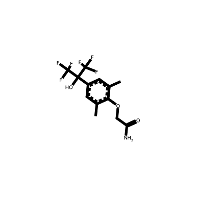 Cc1cc(C(O)(C(F)(F)F)C(F)(F)F)cc(C)c1OCC(N)=O